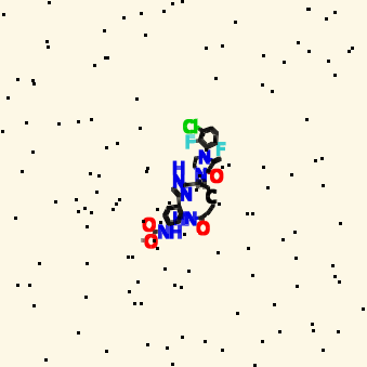 C=C1C(=O)N([C@H]2CCCCC(=O)Nc3cc(NC(=O)OC)ccc3-c3c[nH]c2n3)CCN1c1c(F)ccc(Cl)c1F